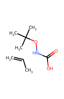 C=CC.CC(C)(C)ONC(=O)O